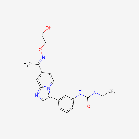 C/C(=N\OCCO)c1ccn2c(-c3cccc(NC(=O)NCC(F)(F)F)c3)cnc2c1